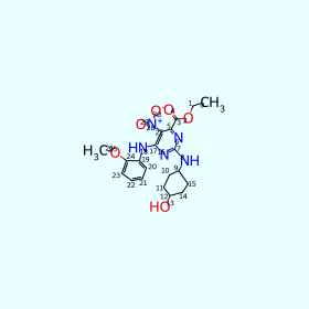 CCOC(=O)c1nc(NC2CCC(O)CC2)nc(Nc2ccccc2OC)c1[N+](=O)[O-]